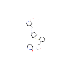 COc1cc(CNc2ccc3c(c2)Sc2cccc(C4CN(c5ccc[nH]c5=O)CCO4)c2S3)ccn1